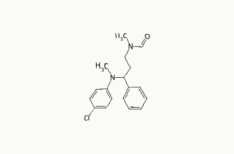 CN(C=O)CCC(c1ccccc1)N(C)c1ccc(Cl)cc1